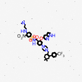 CN(C)CCCNc1ccc(S(=O)(=O)NC(=O)c2ccc(N3CCN(CC4=C(c5ccc(C(F)(F)F)cc5)CC(C)(C)CC4)CC3)cc2Oc2cnc3[nH]ccc3c2)cc1[N+](=O)[O-]